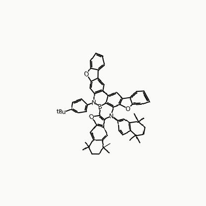 CC(C)(C)c1ccc(N2B3c4oc5cc6c(cc5c4N(c4ccc5c(c4)C(C)(C)CCC5(C)C)c4c3c(cc3c4oc4ccccc43)-c3cc4c(cc32)oc2ccccc24)C(C)(C)CCC6(C)C)cc1